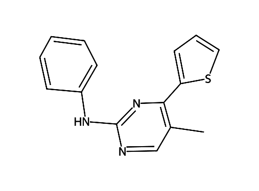 Cc1cnc(Nc2ccccc2)nc1-c1cccs1